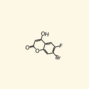 O=c1cc(O)c2cc(F)c(Br)cc2o1